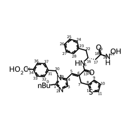 CCCCc1ncc(C=C(Cc2cccs2)C(=O)N[C@@H](CC(=O)NO)Cc2ccccc2)n1Cc1ccc(C(=O)O)cc1